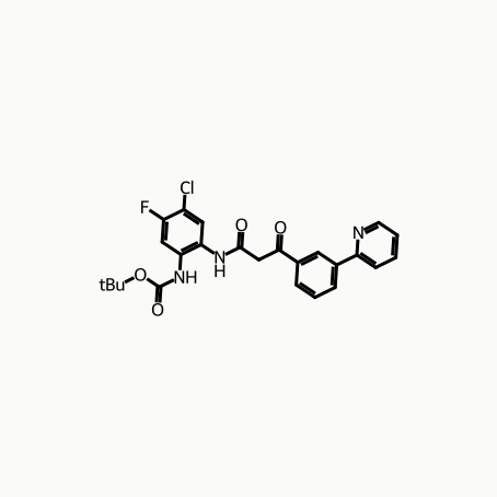 CC(C)(C)OC(=O)Nc1cc(F)c(Cl)cc1NC(=O)CC(=O)c1cccc(-c2ccccn2)c1